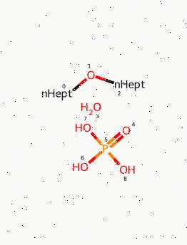 CCCCCCCOCCCCCCC.O.O=P(O)(O)O